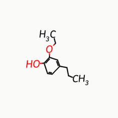 CCCc1ccc(O)c(OCC)c1